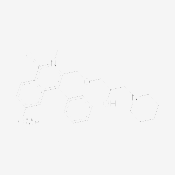 COc1ccc2c(=O)n(C)c(COCC(O)CN3CCCCC3)c(-c3ccccc3)c2c1